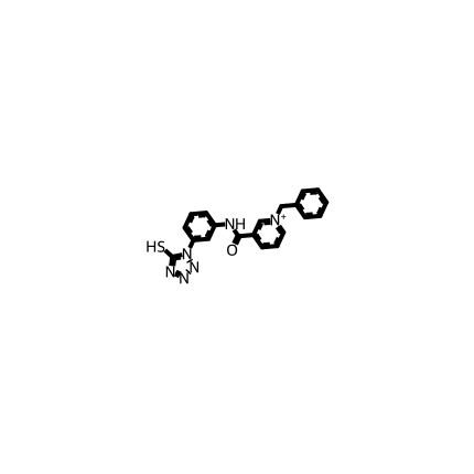 O=C(Nc1cccc(-n2nnnc2S)c1)c1ccc[n+](Cc2ccccc2)c1